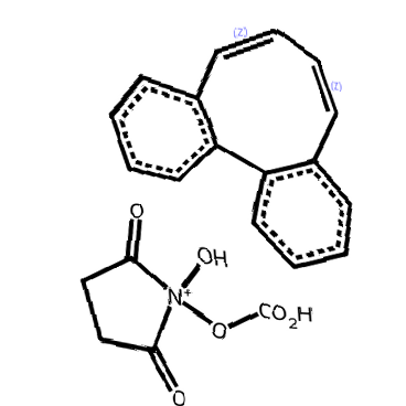 C1=C\c2ccccc2-c2ccccc2\C=C/1.O=C(O)O[N+]1(O)C(=O)CCC1=O